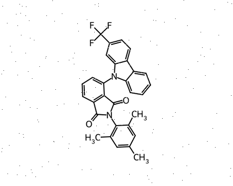 Cc1cc(C)c(N2C(=O)c3cccc(-n4c5ccccc5c5ccc(C(F)(F)F)cc54)c3C2=O)c(C)c1